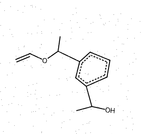 C=COC(C)c1cccc(C(C)O)c1